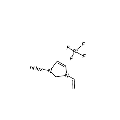 C=CN1C=CN(CCCCCC)C1.F[B-](F)(F)F